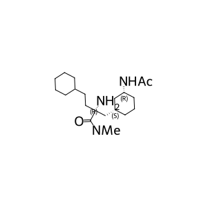 CNC(=O)[C@@](N)(CCC1CCCCC1)C[C@H]1CCC[C@@H](NC(C)=O)C1